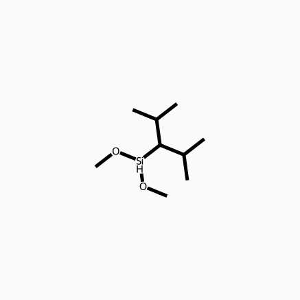 CO[SiH](OC)C(C(C)C)C(C)C